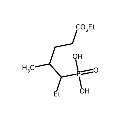 CCOC(=O)CCC(C)C(CC)P(=O)(O)O